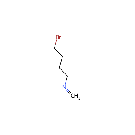 C=NCCCCBr